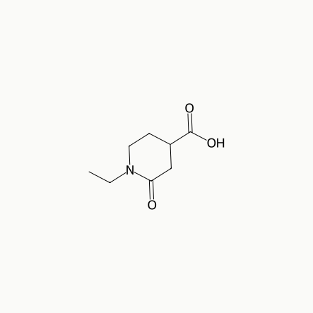 CCN1CCC(C(=O)O)CC1=O